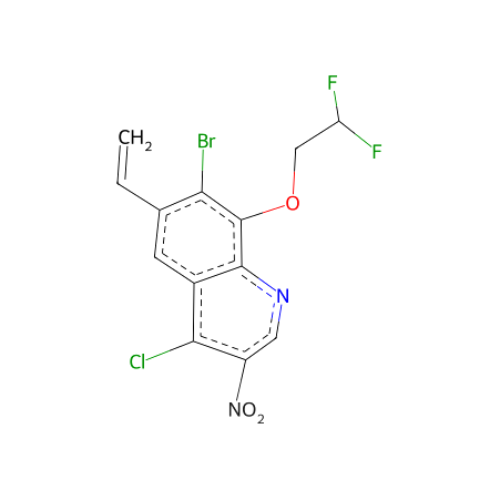 C=Cc1cc2c(Cl)c([N+](=O)[O-])cnc2c(OCC(F)F)c1Br